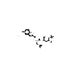 COc1c(Cl)cc(F)c2[nH]c(C(=O)NC(CC3CC3)C(=O)NC(CC3CC(C)(C)NC3=O)C(N)=O)cc12